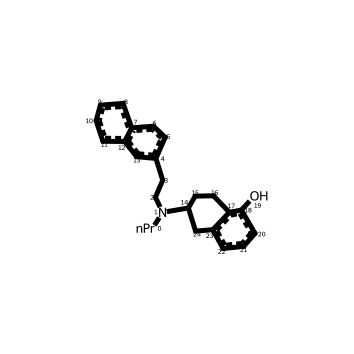 CCCN(CCc1ccc2ccccc2c1)C1CCc2c(O)cccc2C1